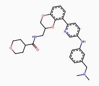 CN(C)Cc1cccc(Nc2ccc(-c3cccc4c3OC(CNC(=O)C3CCOCC3)CO4)nc2)c1